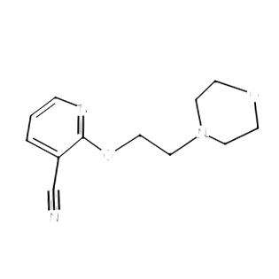 N#Cc1cccnc1OCCN1CCOCC1